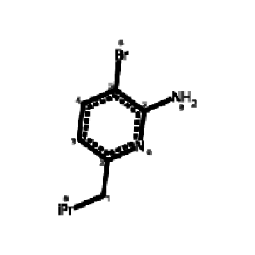 CC(C)Cc1ccc(Br)c(N)n1